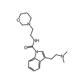 CN(C)CCc1cn(C(=O)NCCN2CCCOC2)c2ccccc12